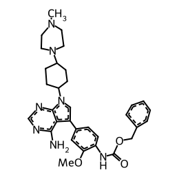 COc1cc(-c2cn(C3CCC(N4CCN(C)CC4)CC3)c3ncnc(N)c23)ccc1NC(=O)OCc1ccccc1